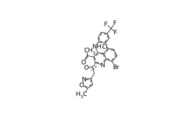 CC(=O)c1c([S+]([O-])Cc2cc(C)on2)nc2c(Br)ccc(Cl)c2c1Nc1ccc(C(F)(F)F)cc1